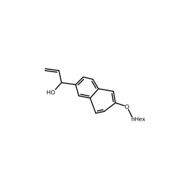 C=CC(O)c1ccc2cc(OCCCCCC)ccc2c1